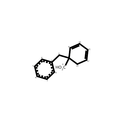 O=C(O)C1(Cc2ccccc2)C=CC=CC1